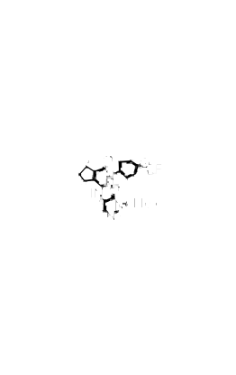 CCCCCCn1cncc(Nc2nn(-c3ccc(OC(F)(F)F)cc3)c(=O)c3c2CCC3)c1=O